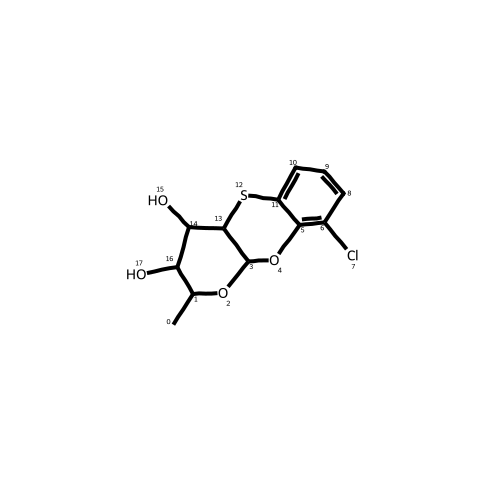 CC1OC2Oc3c(Cl)cccc3SC2C(O)C1O